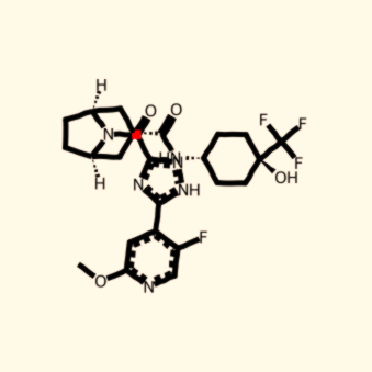 COc1cc(-c2nc(C(=O)N3[C@@H]4CC[C@H]3C[C@H](C(=O)N[C@H]3CC[C@@](O)(C(F)(F)F)CC3)C4)n[nH]2)c(F)cn1